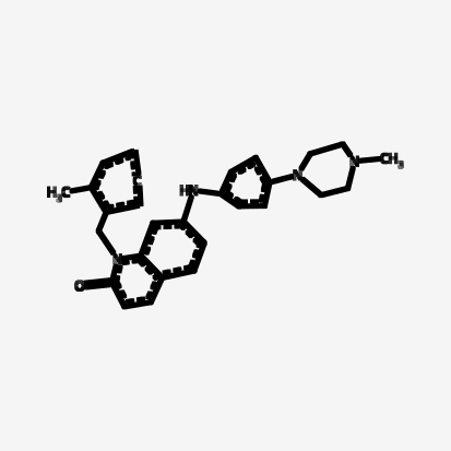 Cc1ccccc1Cn1c(=O)ccc2ccc(Nc3ccc(N4CCN(C)CC4)cc3)cc21